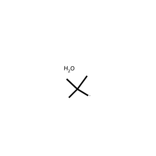 O.[CH2]C(C)(C)C